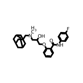 CN(CC(O)COc1ccccc1C(=O)Nc1ccc(F)cc1)CC12CC3CC(CC(C3)C1)C2